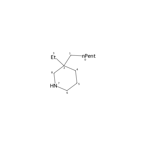 CCCCCCC1(CC)CCCNC1